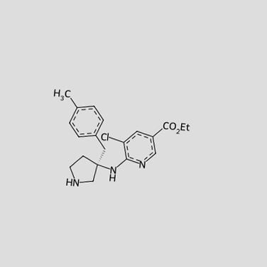 CCOC(=O)c1cnc(N[C@]2(Cc3ccc(C)cc3)CCNC2)c(Cl)c1